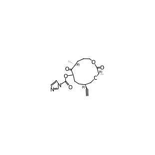 C#C[C@H]1CCC(OC(=O)n2ccnc2)C(=O)[C@H](C)CCCOC(=O)[C@H](C)CC1